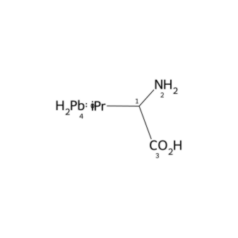 CC(C)C(N)C(=O)O.[PbH2]